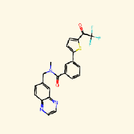 CN(Cc1ccc2nccnc2c1)C(=O)c1cccc(-c2ccc(C(=O)C(F)(F)F)s2)c1